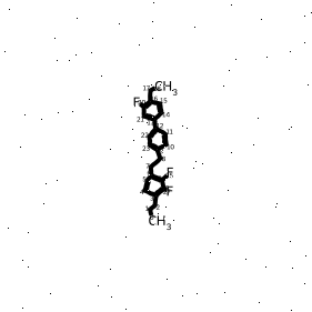 CCCc1ccc(CCc2ccc(-c3ccc(CC)c(F)c3)cc2)c(F)c1F